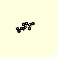 c1ccc(-c2nc(-c3ccccc3)nc(-c3ccc4oc5cccc(-c6cccc7oc8cc(-n9c%10ccccc%10c%10ccccc%109)ccc8c67)c5c4c3)n2)cc1